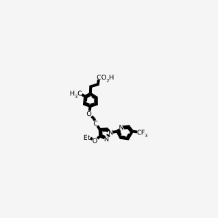 CCOc1nn(-c2ccc(C(F)(F)F)cn2)cc1CCOc1ccc(CCC(=O)O)c(C)c1